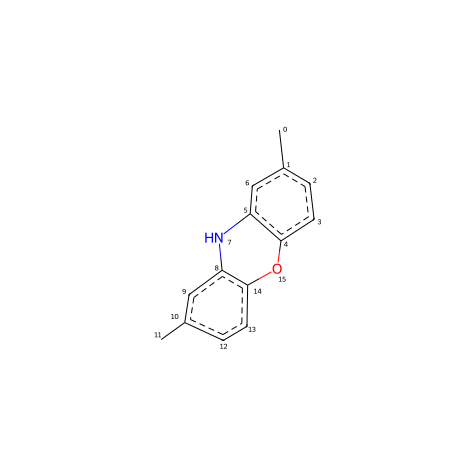 Cc1ccc2c(c1)Nc1cc(C)ccc1O2